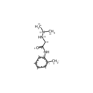 [CH2]c1ccccc1NC(=O)CNN(C)C